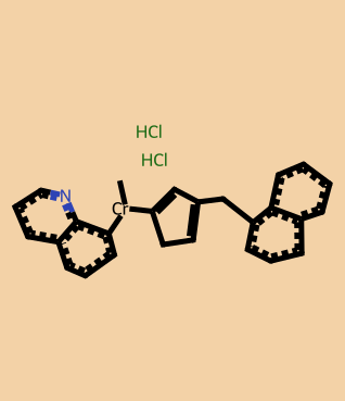 Cl.Cl.[CH3][Cr]([C]1=CC(Cc2cccc3ccccc23)=CC1)[c]1cccc2cccnc12